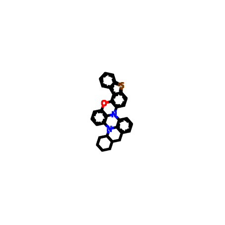 c1cc2c3c(c1)N1c4ccc5sc6ccccc6c5c4Oc4cccc(c41)N3C1CCCCC1C2